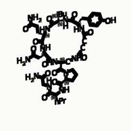 CCC[C@H](NC(=O)[C@@H]1CCCN1C(=O)[C@@H]1CNC(=O)CCC(=O)N[C@@H](Cc2ccc(O)cc2)C(=O)N[C@@H]([C@@H](C)CC)C(=O)N[C@@H](CCC(N)=O)C(=O)N[C@@H](CC(N)=O)C(=O)N1)C(=O)NCC(N)=O